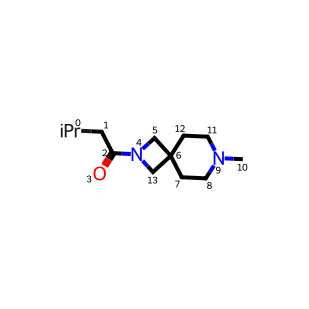 CC(C)CC(=O)N1CC2(CCN(C)CC2)C1